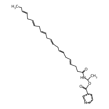 CCC=CCC=CCC=CCC=CCC=CCC=CCCC(=O)NC(C)OC(=O)c1cccnc1